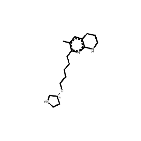 Cc1cc2c(nc1CCCCCO[C@@H]1CCNC1)NCCC2